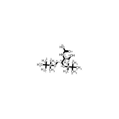 CC(C)(C)[Si](C)(C)OC[C@@H](O[Si](C)(C)C(C)(C)C)[C@H](CO)NC(=O)O